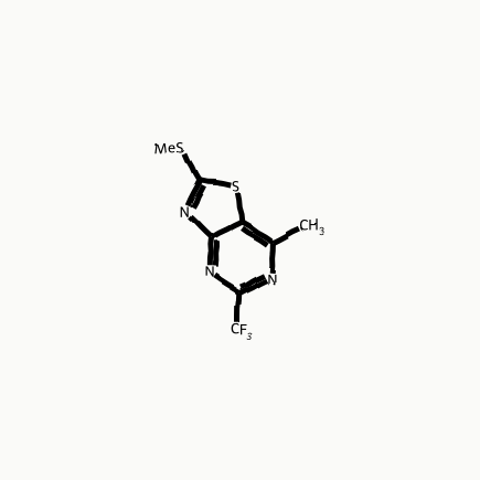 CSc1nc2nc(C(F)(F)F)nc(C)c2s1